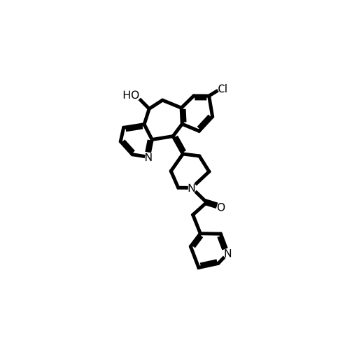 O=C(Cc1cccnc1)N1CCC(=C2c3ccc(Cl)cc3CC(O)c3cccnc32)CC1